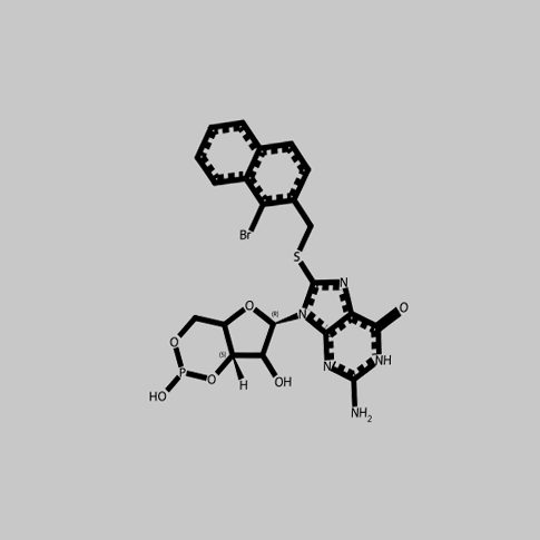 Nc1nc2c(nc(SCc3ccc4ccccc4c3Br)n2[C@@H]2OC3COP(O)O[C@H]3C2O)c(=O)[nH]1